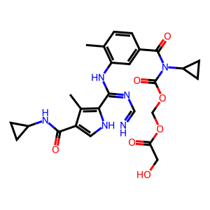 Cc1ccc(C(=O)N(C(=O)OCOC(=O)CO)C2CC2)cc1N/C(=N/C=N)c1[nH]cc(C(=O)NC2CC2)c1C